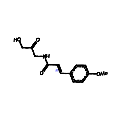 COc1ccc(/C=C/C(=O)NCC(=O)CO)cc1